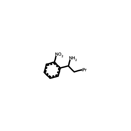 CC(C)CC(N)c1ccccc1[N+](=O)[O-]